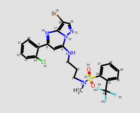 CN(CCCNc1cc(-c2ccccc2Cl)nc2c(Br)cnn12)S(=O)(=O)c1ccccc1C(F)(F)F